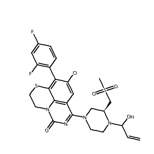 C=CC(O)N1CCN(c2nc(=O)n3c4c(c(-c5ccc(F)cc5F)c(Cl)cc24)SCC3)C[C@H]1CS(C)(=O)=O